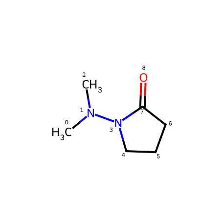 CN(C)N1CCCC1=O